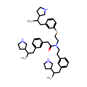 O=C(O)C(Cc1cccc(CCN(CCSc2cccc(CC(C(=O)O)C3CCNC3)c2)C(=O)Cc2cccc(CC(C(=O)O)C3CCNC3)c2)c1)C1CCNC1